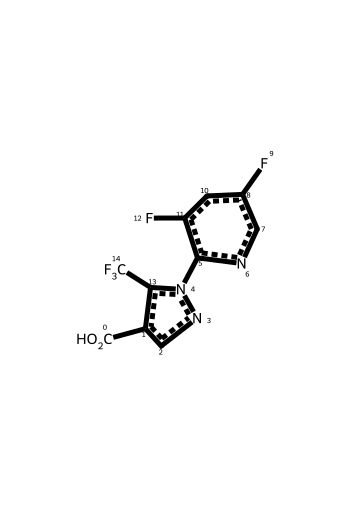 O=C(O)c1cnn(-c2ncc(F)cc2F)c1C(F)(F)F